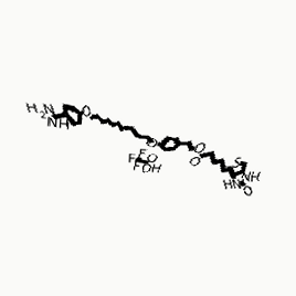 N=C(N)c1ccc(OCCCCCCCCCCOc2ccc(CCOC(=O)CCCCC3SCC4NC(=O)NC43)cc2)cc1.O=C(O)C(F)(F)F